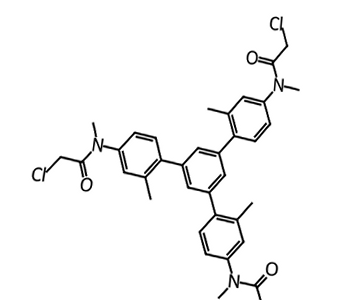 Cc1cc(N(C)C(=O)CCl)ccc1-c1cc(-c2ccc(N(C)C(=O)CCl)cc2C)cc(-c2ccc(N(C)C(=O)CCl)cc2C)c1